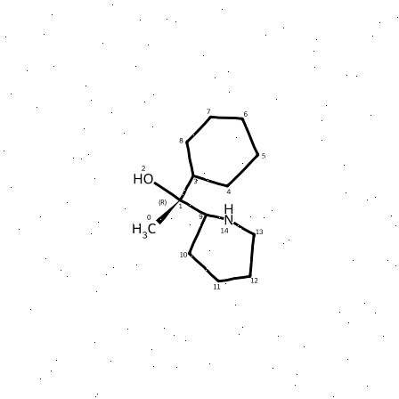 C[C@@](O)(C1CCCCC1)C1CCCCN1